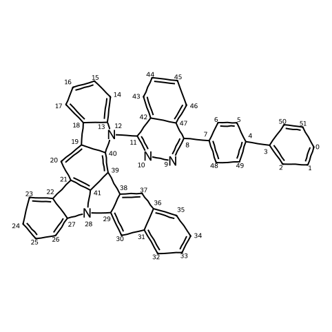 c1ccc(-c2ccc(-c3nnc(-n4c5ccccc5c5cc6c7ccccc7n7c8cc9ccccc9cc8c(c54)c67)c4ccccc34)cc2)cc1